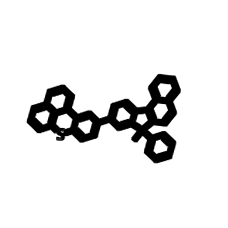 CC1(c2ccccc2)c2cc(-c3ccc4c(c3)-c3cccc5cccc(c35)S4)ccc2-c2c1ccc1ccccc21